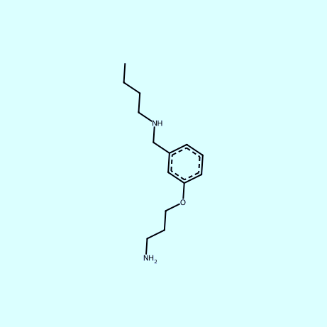 CCCCNCc1cccc(OCCCN)c1